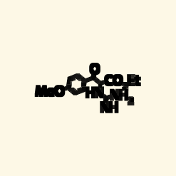 CCOC(=O)C(NC(=N)N)C(=O)c1ccc(OC)cc1